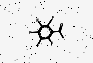 CC(=O)c1c(F)c(F)c(F)c(F)c1F